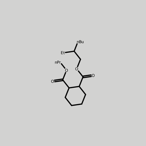 CCCCC(CC)COC(=O)C1CCCCC1C(=O)OCCC